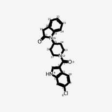 O=C(c1c[nH]c2cc(Cl)ccc12)N1CCC(N2C(=O)Cc3ccccc32)CC1